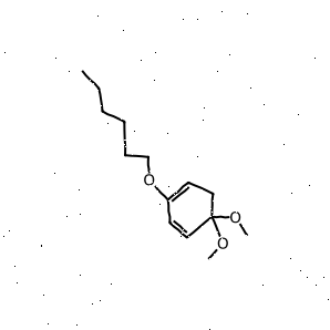 CCCCCCOC1=CCC(OC)(OC)C=C1